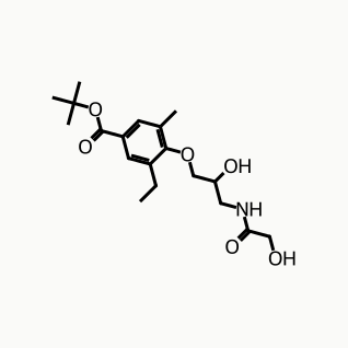 CCc1cc(C(=O)OC(C)(C)C)cc(C)c1OCC(O)CNC(=O)CO